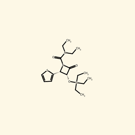 CCN(CC)C(=O)N1C(=O)[C@H](O[Si](CC)(CC)CC)[C@@H]1c1cccs1